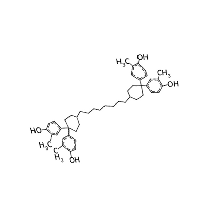 Cc1cc(C2(c3ccc(O)c(C)c3)CCC(CCCCCCCCC3CCC(c4ccc(O)c(C)c4)(c4ccc(O)c(C)c4)CC3)CC2)ccc1O